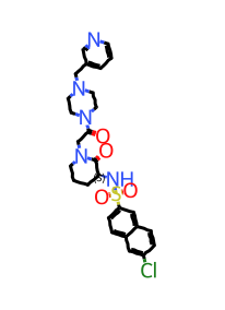 O=C(CN1CCC[C@H](NS(=O)(=O)c2ccc3cc(Cl)ccc3c2)C1=O)N1CCN(Cc2cccnc2)CC1